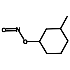 CC1CCCC(ON=O)C1